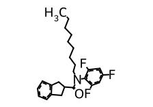 CCCCCCCCCN(C(=O)C1Cc2ccccc2C1)c1c(F)cc(F)cc1F